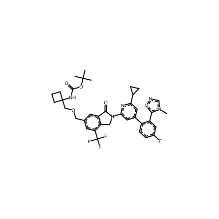 Cn1cnnc1-c1cc(F)ccc1-c1cc(C2CC2)nc(N2Cc3c(cc(COCC4(NC(=O)OC(C)(C)C)CCC4)cc3C(F)(F)F)C2=O)c1